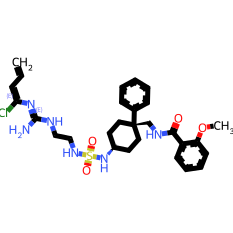 C=C/C=C(Cl)\N=C(/N)NCCNS(=O)(=O)N[C@H]1CC[C@](CNC(=O)c2ccccc2OC)(c2ccccc2)CC1